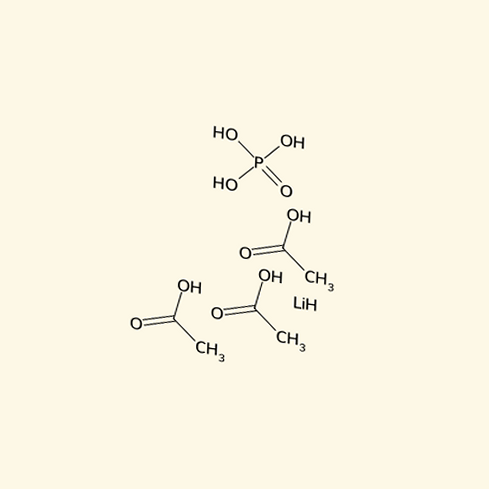 CC(=O)O.CC(=O)O.CC(=O)O.O=P(O)(O)O.[LiH]